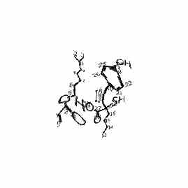 C=CC(=O)OCCCCCC(C)C.CCCCC(S)(Cc1ccc(O)cc1)C(=O)O